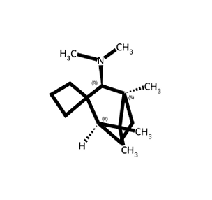 CN(C)[C@@H]1C2(CCC2)[C@@H]2CC[C@@]1(C)C2(C)C